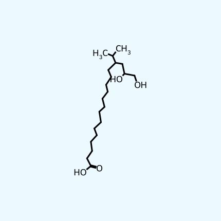 CC(C)C(CCCCCCCCCCCCCC(=O)O)CC(O)CO